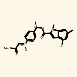 COC(=O)C[S@@+]([O-])c1ccc([C@@H](C)NC(=O)c2cc3c(Cl)cc(C)cc3n2C)cc1